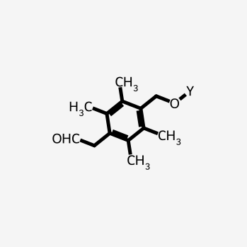 Cc1c(C)c(C[O][Y])c(C)c(C)c1CC=O